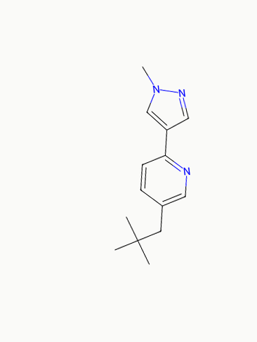 Cn1cc(-c2ccc(CC(C)(C)C)cn2)cn1